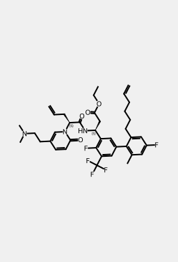 C=CCCCCc1cc(F)cc(C)c1-c1cc([C@H](CC(=O)OCC)NC(=O)[C@H](CC=C)n2cc(CCN(C)C)ccc2=O)c(F)c(C(F)(F)F)c1